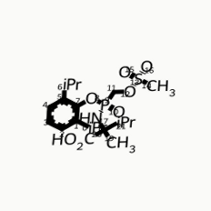 CC(C)c1cccc(C(C)C)c1OP(=O)(COS(C)(=O)=O)NC(C)(C(=O)O)C(C)C